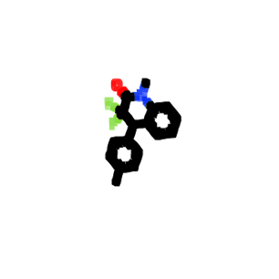 Cc1ccc(C2c3ccccc3N(C)C(=O)C2(F)F)cc1